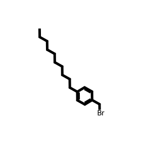 CCCCCCCCCCc1ccc(CBr)cc1